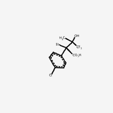 CCC(C(=O)O)(c1ccc(Cl)cc1)C(C)(O)C(F)(F)F